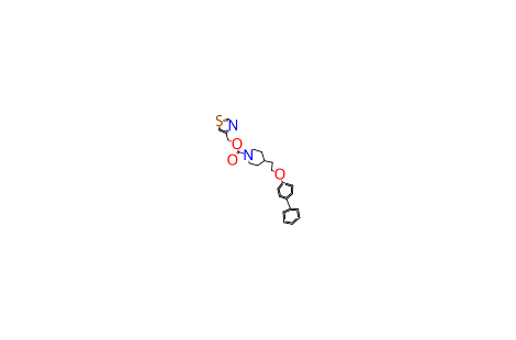 O=C(OCc1cscn1)N1CCC(CCOc2ccc(-c3ccccc3)cc2)CC1